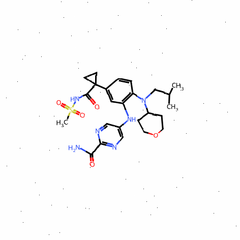 CC(C)CN(c1ccc(C2(C(=O)NS(C)(=O)=O)CC2)cc1Nc1cnc(C(N)=O)nc1)C1CCOCC1